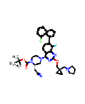 CC(C)(C)OC(=O)N1CCN(c2nc(OCC3(CN4CCCC4)CC3)nc3c(F)c(-c4cccc5cccc(Cl)c45)ccc23)C[C@@H]1CC#N